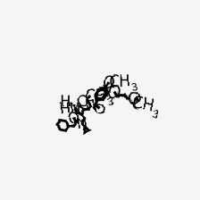 COCCCOc1cc(C(=O)N(CC2CNCC2CN(C(=O)CC2CCCCC2)C2CC2)C(C)C)ccc1OC